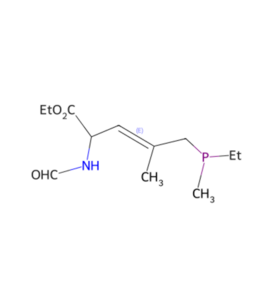 CCOC(=O)C(/C=C(\C)CP(C)CC)NC=O